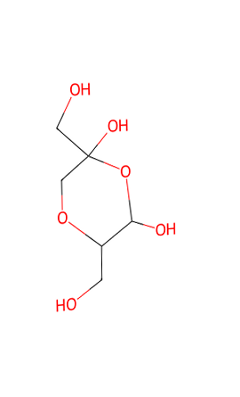 OCC1OCC(O)(CO)OC1O